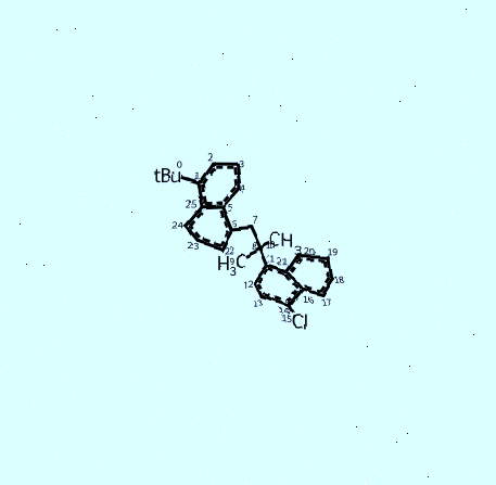 CC(C)(C)c1cccc2c(CC(C)(C)c3ccc(Cl)c4ccccc34)cccc12